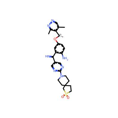 Cc1cnnc(C)c1[C@H](C)Oc1ccc(N)c(C(=N)c2cnc(N3CCC4(CC3)CCS(=O)(=O)C4)nc2)c1